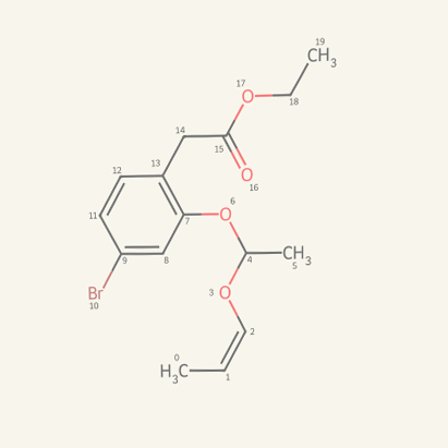 C/C=C\OC(C)Oc1cc(Br)ccc1CC(=O)OCC